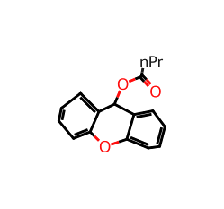 CCCC(=O)OC1c2ccccc2Oc2ccccc21